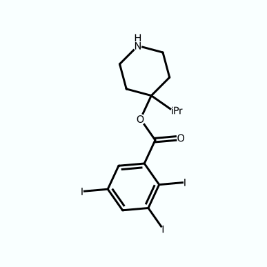 CC(C)C1(OC(=O)c2cc(I)cc(I)c2I)CCNCC1